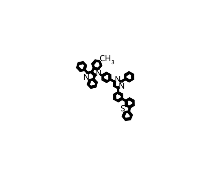 CC1C=Cc2c(n(-c3ccc(-c4cc(-c5cccc(-c6cccc7c6sc6ccccc67)c5)nc(-c5ccccc5)n4)cc3)c3c2c(-c2ccccc2)nc2ccccc23)C1